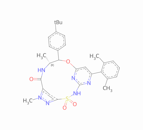 Cc1cccc(C)c1-c1cc2nc(n1)NS(=O)(=O)c1cc(n(C)n1)C(=O)N[C@H](C)C(c1ccc(C(C)(C)C)cc1)O2